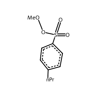 CCCc1ccc(S(=O)(=O)OOC)cc1